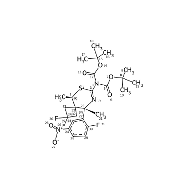 C[C@H]1SC(N(C(=O)OC(C)(C)C)C(=O)OC(C)(C)C)=N[C@](C)(c2cc([N+](=O)[O-])ccc2F)C12CC(F)(F)C2